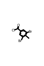 Cc1c(Br)cc(C(=O)Cl)cc1Br